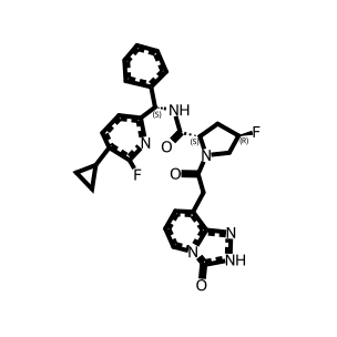 O=C(N[C@@H](c1ccccc1)c1ccc(C2CC2)c(F)n1)[C@@H]1C[C@@H](F)CN1C(=O)Cc1cccn2c(=O)[nH]nc12